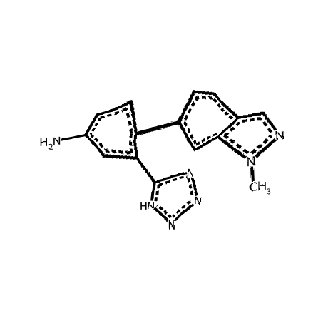 Cn1ncc2ccc(-c3ccc(N)cc3-c3nnn[nH]3)cc21